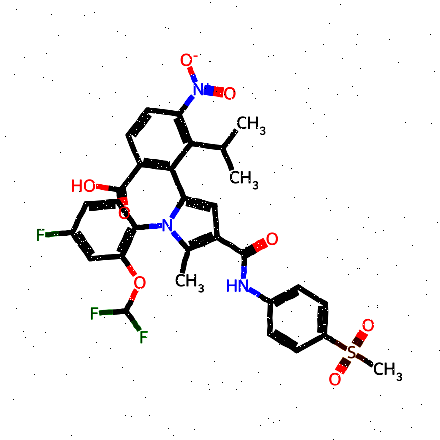 Cc1c(C(=O)Nc2ccc(S(C)(=O)=O)cc2)cc(-c2c(C(=O)O)ccc([N+](=O)[O-])c2C(C)C)n1-c1ccc(F)cc1OC(F)F